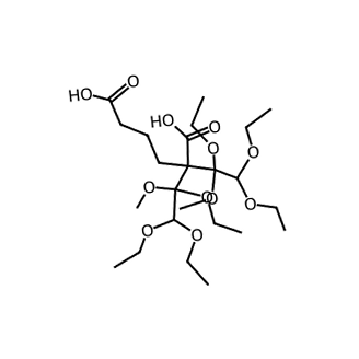 CCOC(OCC)C(OC)(OCC)C(CCCC(=O)O)(C(=O)O)C(OC)(OCC)C(OCC)OCC